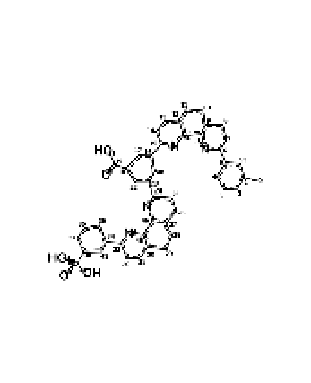 Cc1cccc(-c2ccc3ccc4ccc(-c5cc(C(=O)O)cc(-c6ccc7ccc8ccc(-c9cccc(P(=O)(O)O)c9)nc8c7n6)c5)nc4c3n2)c1